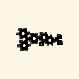 CCN(CC)c1ccc2c(c1)CCN(C1CCN(C(c3ccccc3)c3ccccc3)CC1)C2=O